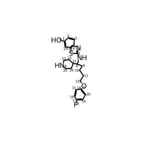 Oc1ccc2nc(NC(CCCCOc3ccc(F)cc3)C3CCNCC3)sc2c1